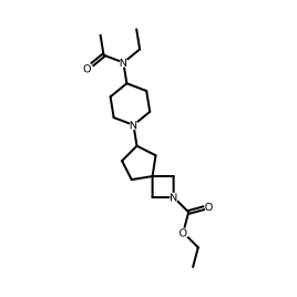 CCOC(=O)N1CC2(CCC(N3CCC(N(CC)C(C)=O)CC3)C2)C1